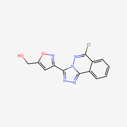 OCc1cc(-c2nnc3c4ccccc4c(Cl)nn23)no1